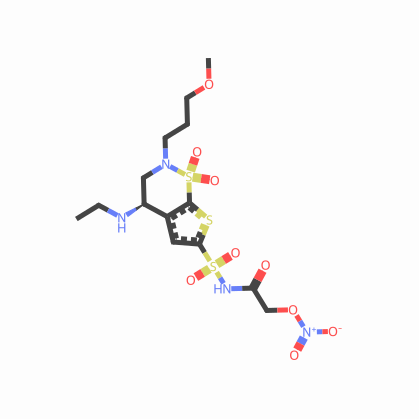 CCN[C@H]1CN(CCCOC)S(=O)(=O)c2sc(S(=O)(=O)NC(=O)CO[N+](=O)[O-])cc21